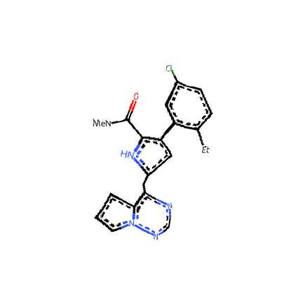 CCc1ccc(Cl)cc1-c1cc(-c2ncnn3cccc23)[nH]c1C(=O)NC